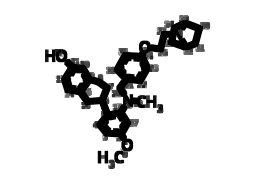 COc1ccc(C2CCc3cc(O)ccc3C2)c(N(C)Cc2ccc(OCCN3C4CCC3CC4)cc2)c1